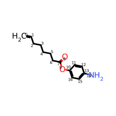 C=CCCCCCC(=O)Oc1ccc(N)cc1